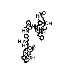 CNCC(C)C1CCCCN1C(N)=O.CNC[C@H](CC1CCCCC1)NC(=O)N1CCC[C@@H]([C@@](O)(CCCNC(C)=O)c2cc(C)cc(F)c2)C1.COCCCC[C@@](O)(c1cccc2ccsc12)C1CN(C(=O)NC[C@@H](N)CC2CCCCC2)CCO1